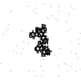 CCC(=O)N[C@H](C(=O)NC1CCOCC1)[C@@H](C)c1ccc(NC(=O)[C@@H](NC(=O)c2ccnn2CC)C2CCCCC2)c(F)c1